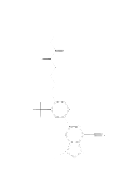 CCC(=O)C(=N)CCCOc1ccc(-c2cc3c(ncn3C)c(C#N)n2)cc1C(F)(F)F